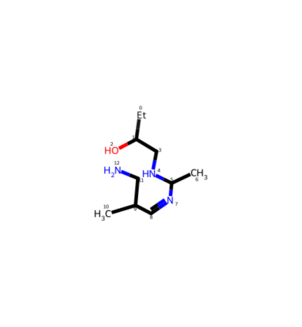 CCC(O)CNC(C)/N=C\C(C)CN